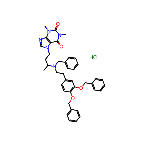 CC(CCn1cnc2c1c(=O)n(C)c(=O)n2C)N(CCc1ccc(OCc2ccccc2)c(OCc2ccccc2)c1)Cc1ccccc1.Cl